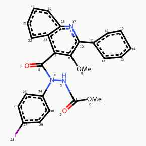 COC(=O)NN(C(=O)c1c(OC)c(-c2ccccc2)nc2ccccc12)c1ccc(I)cc1